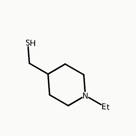 CCN1CCC(CS)CC1